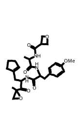 COc1ccc(CC(NC(=O)C(C)NC(=O)C2COC2)C(=O)NC(CC2=CCCC2)C(=O)C2(C)CO2)cc1